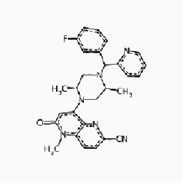 CC1CN(c2cc(=O)n(C)c3ccc(C#N)nc23)[C@@H](C)CN1C(c1cccc(F)c1)c1ccccn1